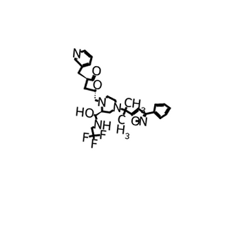 CC(C)(c1cc(-c2ccccc2)no1)N1CCN(C[C@@H]2C[C@@H](Cc3cccnc3)C(=O)O2)[C@H](C(O)NCC(F)(F)F)C1